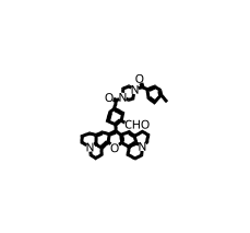 Cc1ccc(C(=O)N2CCN(C(=O)c3ccc(C4=c5cc6c7c(c5Oc5c4cc4c8c5CCCN8CCC4)CCC[N+]=7CCC6)c(C=O)c3)CC2)cc1